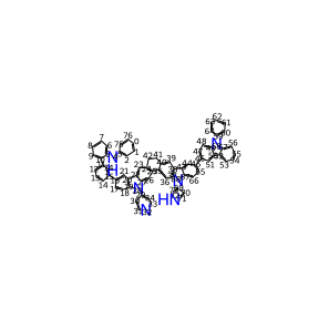 c1ccc(Nc2ccccc2-c2cccc(-c3ccc4c(c3)c3cc5c(cc3n4-c3ccncc3)-c3cc4c(cc3CC5)c3cc(-c5ccc6c(c5)c5ccccc5n6-c5ccccc5)ccc3n4-c3cc[nH]c3)c2)cc1